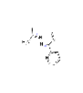 C=N/C(=N\N=C(\C)N)c1ccccn1